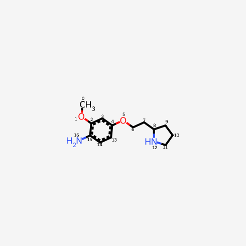 COc1cc(OCCC2CCCN2)ccc1N